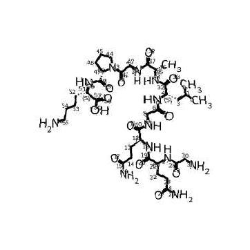 CC(C)C[C@H](NC(=O)CNC(=O)[C@H](CCC(N)=O)NC(=O)[C@H](CCC(N)=O)NC(=O)CN)C(=O)N[C@@H](C)C(=O)NCC(=O)N1CCC[C@H]1C(=O)N[C@@H](CCCCN)C(=O)O